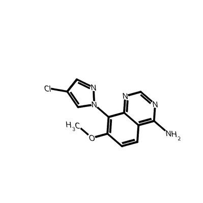 COc1ccc2c(N)ncnc2c1-n1cc(Cl)cn1